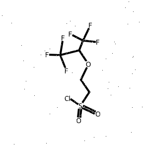 O=S(=O)(Cl)CCOC(C(F)(F)F)C(F)(F)F